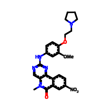 COc1cc(Nc2ncc3c(n2)c2ccc([N+](=O)[O-])cc2c(=O)n3C)ccc1OCCN1CCCC1